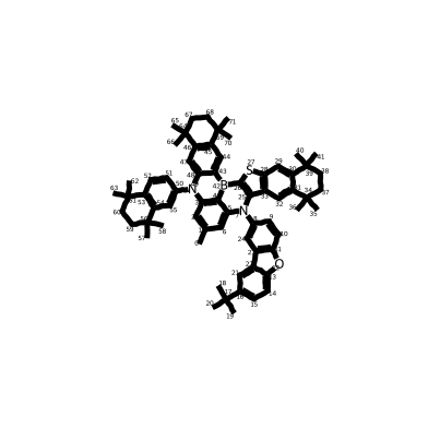 Cc1cc2c3c(c1)N(c1ccc4oc5ccc(C(C)(C)C)cc5c4c1)c1c(sc4cc5c(cc14)C(C)(C)CCC5(C)C)B3c1cc3c(cc1N2c1ccc2c(c1)C(C)(C)CCC2(C)C)C(C)(C)CCC3(C)C